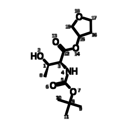 C[C@@H](O)[C@H](NC(=O)OC(C)(C)C)C(=O)OC1CCOC1